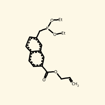 C=CCOC(=O)c1ccc2ccc(CP(OCC)OCC)cc2c1